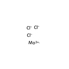 [Cl-].[Cl-].[Cl-].[Mo+3]